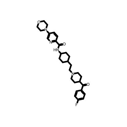 O=C(NC1CCC(CCN2CCC(C(=O)c3ccc(F)cc3)CC2)CC1)c1ccc(N2CCOCC2)cn1